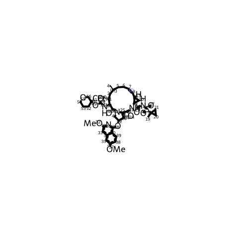 CC[C@@H]1C[C@@H](C)CC/C=C\[C@@H]2C[C@@]2(C(=O)NS(=O)(=O)C2(C)CC2)NC(=O)[C@@H]2C[C@@H](Oc3nc(OC)cc4cc(OC)ccc34)CN2C(=O)[C@H]1NC(=O)OC1(C(F)(F)F)CCCOC1